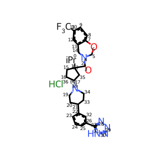 CC(C)[C@]1(C(=O)N2COc3ccc(C(F)(F)F)cc3C2)CC[C@@H](N2CCC(c3cccc(-c4nnn[nH]4)c3)CC2)C1.Cl